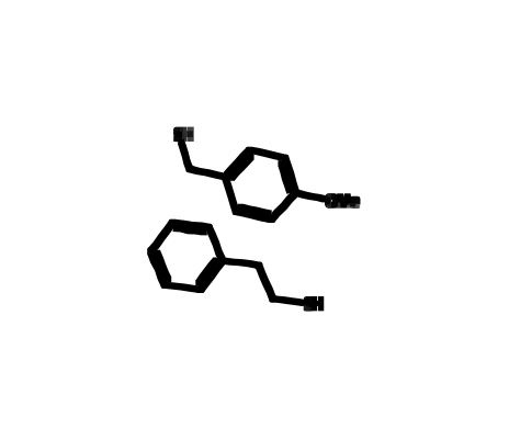 COc1ccc(CS)cc1.SCCc1ccccc1